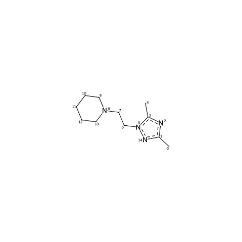 Cc1nc(C)n(CCN2CCCCC2)n1